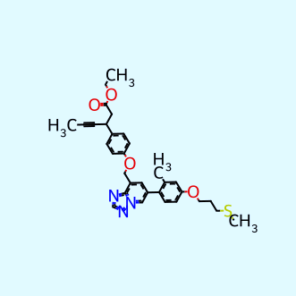 CC#CC(CC(=O)OCC)c1ccc(OCc2cc(-c3ccc(OCCCSC)cc3C)cn3ncnc23)cc1